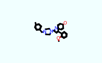 COc1ccccc1C1=CC(N2CCN(Cc3ccc(C)cc3)CC2)=NC12C=CC(=O)C=C2